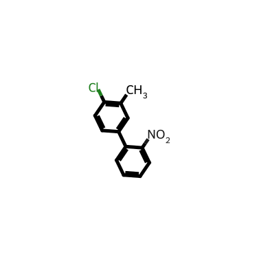 Cc1cc(-c2ccccc2[N+](=O)[O-])ccc1Cl